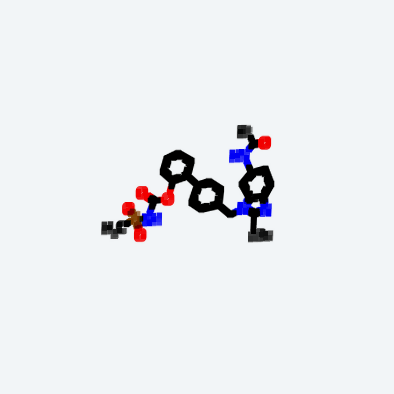 CCCCc1nc2ccc(NC(=O)CC)cc2n1Cc1ccc(-c2ccccc2OC(=O)NS(C)(=O)=O)cc1